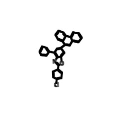 Clc1ccc(-c2nc3c(-c4ccccc4)cc(-c4cc5ccccc5c5ccccc45)cc3o2)cc1